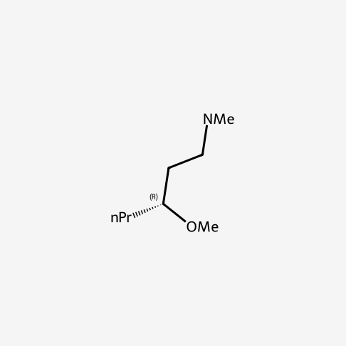 CCC[C@H](CCNC)OC